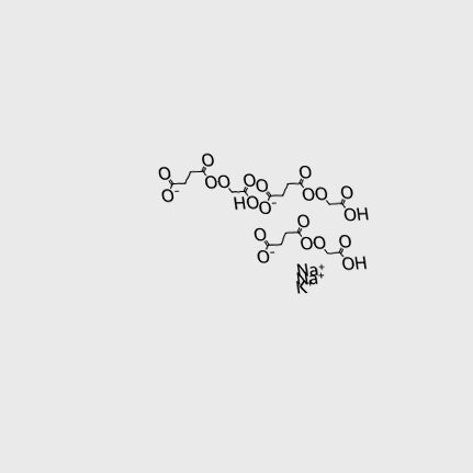 O=C([O-])CCC(=O)OOCC(=O)O.O=C([O-])CCC(=O)OOCC(=O)O.O=C([O-])CCC(=O)OOCC(=O)O.[K+].[Na+].[Na+]